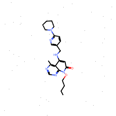 CCCCOn1c(=O)cc(NCc2ccc(N3CCCCC3)nc2)c2c(C)ncnc21